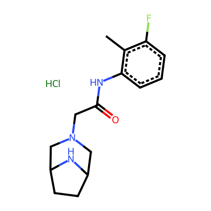 Cc1c(F)cccc1NC(=O)CN1CC2CCC(C1)N2.Cl